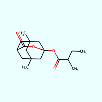 CCC(C)C(=O)OC12CC3(C)CC(CC(C)(C3)C1)C(=O)O2